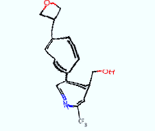 OCc1cc(C(F)(F)F)ncc1-c1ccc(C2COC2)cc1